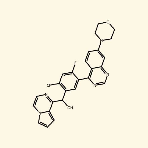 OC(c1cc(-c2ncnc3cc(N4CCOCC4)ccc23)c(F)cc1Cl)c1nccn2cccc12